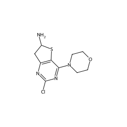 NC1Cc2nc(Cl)nc(N3CCOCC3)c2S1